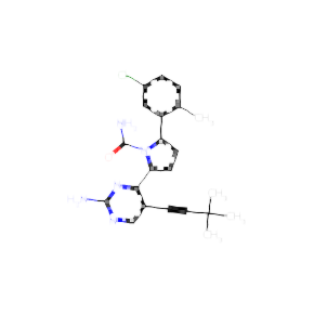 Cc1ccc(Cl)cc1-c1ccc(-c2nc(N)ncc2C#CC(C)(C)C)n1C(N)=O